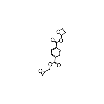 O=C(OCC1CO1)c1ccc(C(=O)OC2CCO2)cc1